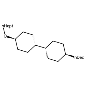 CCCCCCCCCC[C@H]1CC[C@H]([C@H]2CC[C@H](OCCCCCCC)CC2)CC1